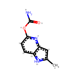 Cc1cc2nc(OC(N)=O)ccc2[nH]1